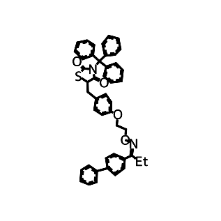 CCC(=NOCCOc1ccc(CC2SC(=O)N(C(c3ccccc3)(c3ccccc3)c3ccccc3)C2=O)cc1)c1ccc(-c2ccccc2)cc1